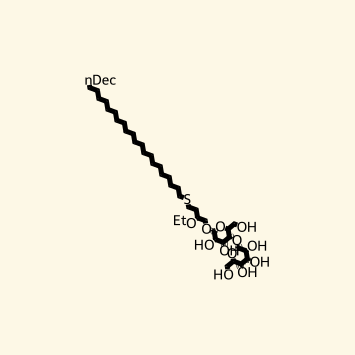 CCCCCCCCCCCCCCCCCCCCCCCCCCCCCCCSCCC(CO[C@@H]1OC(CO)[C@@H](O[C@@H]2OC(CO)[C@H](O)[C@H](O)C2O)[C@H](O)C1O)OCC